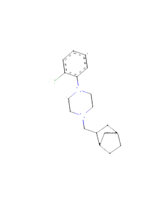 Clc1ccccc1N1CCN(CC2CC3CCC2C3)CC1